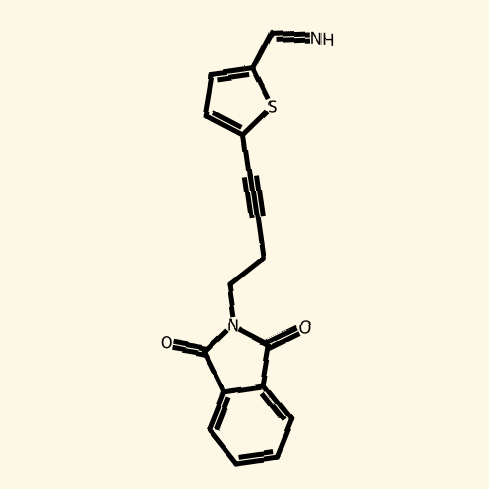 N=Cc1ccc(C#CCCN2C(=O)c3ccccc3C2=O)s1